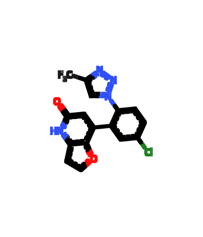 O=c1cc(-c2cc(Cl)ccc2-n2cc(C(F)(F)F)nn2)c2occc2[nH]1